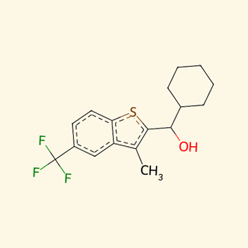 Cc1c(C(O)C2CCCCC2)sc2ccc(C(F)(F)F)cc12